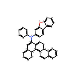 c1ccc(N(c2ccc3c(c2)oc2ccccc23)c2cc3ccccc3c3c2ccc2c4ccccc4ccc23)cc1